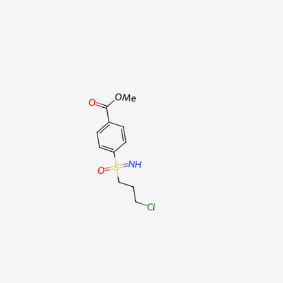 COC(=O)c1ccc(S(=N)(=O)CCCCl)cc1